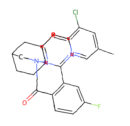 Cc1cnc(OC2CC3CCC2N(C(=O)c2ccc(F)cc2-c2ncccn2)C3)c(Cl)c1